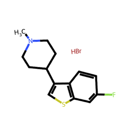 Br.CN1CCC(c2csc3cc(F)ccc23)CC1